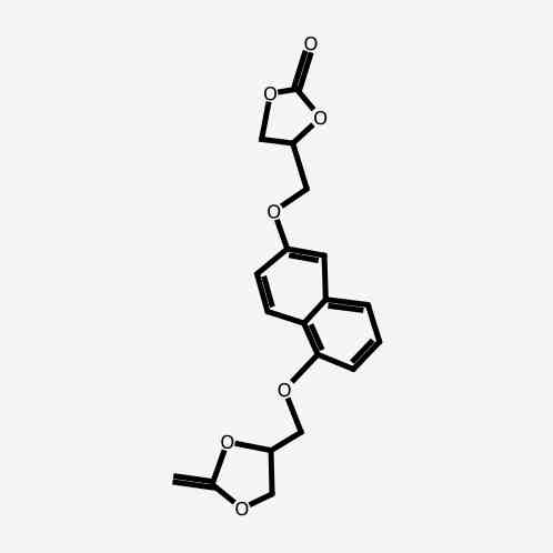 C=C1OCC(COc2cccc3cc(OCC4COC(=O)O4)ccc23)O1